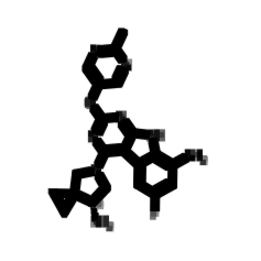 Cc1ncc(Oc2nc(N3C[C@H](N)C4(CC4)C3)c3c(n2)[nH]c2c(N)cc(F)cc23)cn1